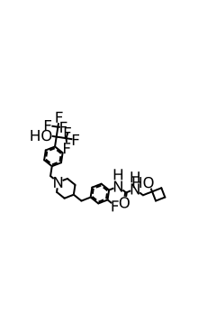 O=C(NCC1(O)CCC1)Nc1ccc(CC2CCN(Cc3ccc(C(O)(C(F)(F)F)C(F)(F)F)cc3)CC2)cc1F